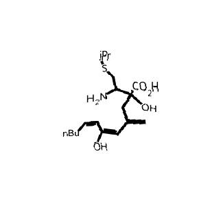 C=C(/C=C(O)\C=C/CCCC)C[C@](O)(C(=O)O)C(N)CSC(C)C